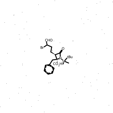 CC(C)(C)[Si](C)(C)N1C(=O)[C@H](CCC(Br)C=O)[C@@]1(Cc1ccccc1)C(=O)O